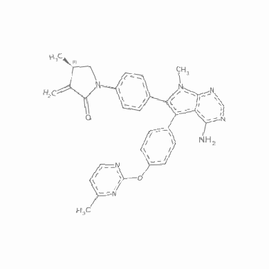 C=C1C(=O)N(c2ccc(-c3c(-c4ccc(Oc5nccc(C)n5)cc4)c4c(N)ncnc4n3C)cc2)C[C@@H]1C